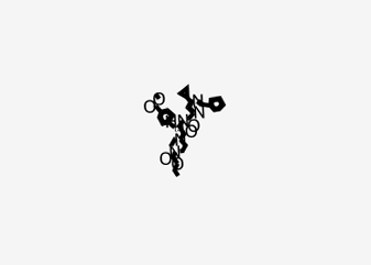 CCOC(=O)N1CCN(C(=O)[C@H](Cc2ccc(C(=O)OC)cc2)NC(=O)c2cc(C3CC3)nc(-c3ccccc3)n2)CC1